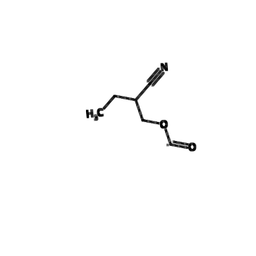 CCC(C#N)CO[C]=O